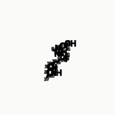 Cc1ncc([C@@H](CC(=O)O)CC(F)(F)CCCCc2ccc3c(n2)NCC(C)C3)cn1